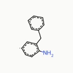 Nc1cc[c]cc1Cc1ccccc1